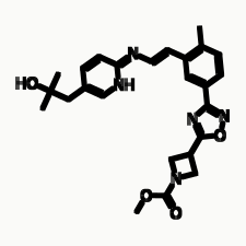 COC(=O)N1CC(c2nc(-c3ccc(C)c(/C=C/N=c4/ccc(CC(C)(C)O)c[nH]4)c3)no2)C1